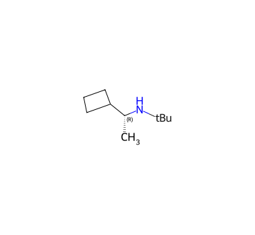 C[C@@H](NC(C)(C)C)C1CCC1